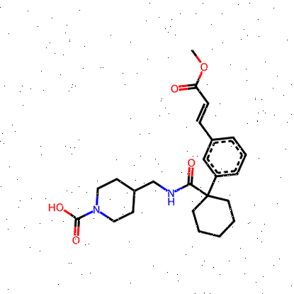 COC(=O)C=Cc1cccc(C2(C(=O)NCC3CCN(C(=O)O)CC3)CCCCC2)c1